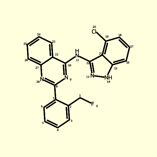 FCc1ccccc1-c1nc(Nc2n[nH]c3cccc(Cl)c23)c2ccccc2n1